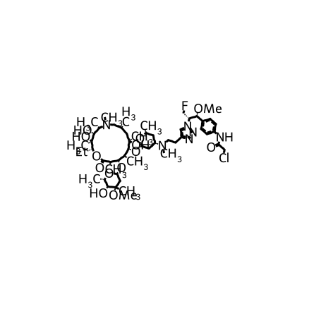 CC[C@H]1OC(=O)[C@H](C)[C@@H](O[C@H]2C[C@@](C)(OC)[C@@H](O)[C@H](C)O2)[C@H](C)[C@@H](O[C@H]2C[C@@H](N(C)CCc3cn([C@H](CF)[C@H](OC)c4ccc(NC(=O)CCl)cc4)nn3)C[C@@H](C)O2)[C@](C)(O)C[C@@H](C)CN(C)[C@H](C)[C@@H](O)[C@]1(C)O